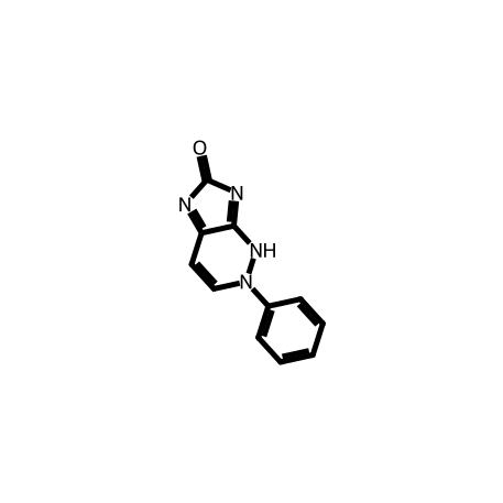 O=c1nc2ccn(-c3ccccc3)[nH]c-2n1